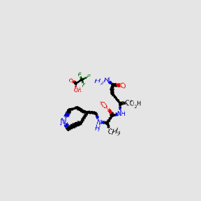 CC(NCc1ccncc1)C(=O)NC(CC(N)=O)C(=O)O.O=C(O)C(F)(F)F